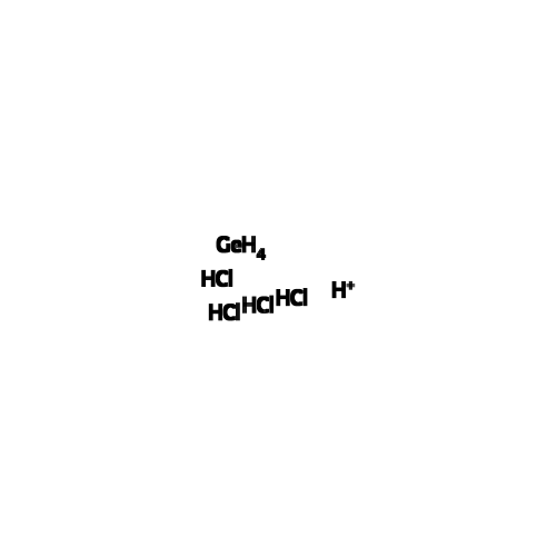 Cl.Cl.Cl.Cl.[GeH4].[H+]